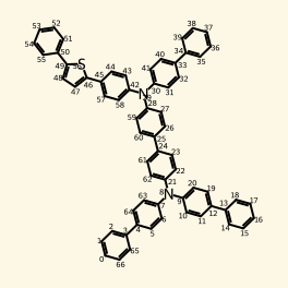 c1ccc(-c2ccc(N(c3ccc(-c4ccccc4)cc3)c3ccc(-c4ccc(N(c5ccc(-c6ccccc6)cc5)c5ccc(-c6ccc(-c7ccccc7)s6)cc5)cc4)cc3)cc2)cc1